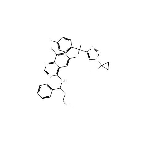 [2H]C(Nc1cc(Cl)c2ncnc(NC(CCC#N)c3ccccc3)c2c1)(c1ccc(F)cc1)c1cn(C2(C(F)(F)F)CC2)nn1